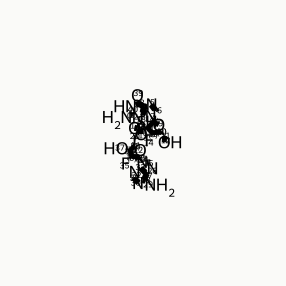 Nc1nc2c(ncn2[C@@H]2O[C@H](CO)[C@H](F)[C@H]2[P@](=O)(S)OC[C@H]2O[C@@H](n3cnc4c(N)ncnc43)[C@@H](F)[C@@H]2O)c(=O)[nH]1